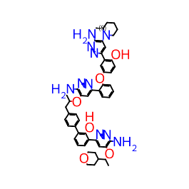 CC(Cc1ccc(-c2cccc(-c3cc(OC(C)C4CCOCC4)c(N)nn3)c2O)cc1)Oc1cc(-c2ccccc2Oc2ccc(O)c(-c3cc(N4CCCC[C@@H]4C)c(N)nn3)c2)nnc1N